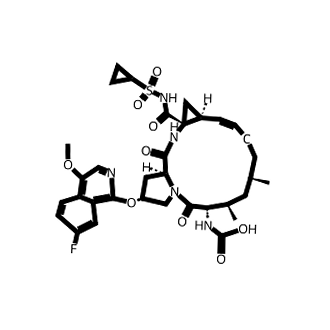 COc1cnc(O[C@@H]2C[C@H]3C(=O)N[C@]4(C(=O)NS(=O)(=O)C5CC5)C[C@H]4C=CCC[C@@H](C)C[C@@H](C)[C@H](NC(=O)O)C(=O)N3C2)c2cc(F)ccc12